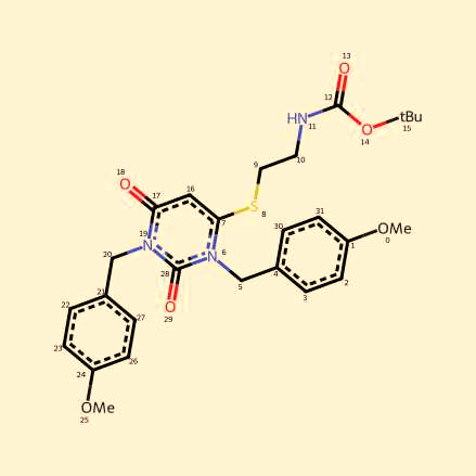 COc1ccc(Cn2c(SCCNC(=O)OC(C)(C)C)cc(=O)n(Cc3ccc(OC)cc3)c2=O)cc1